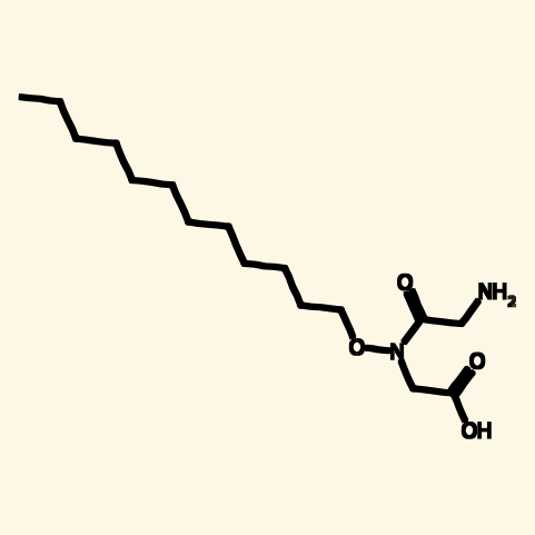 CCCCCCCCCCCCON(CC(=O)O)C(=O)CN